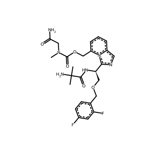 CN(CC(N)=O)C(=O)OCc1cccc2cnc([C@@H](COCc3ccc(F)cc3F)NC(=O)C(C)(C)N)n12